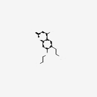 CCCOc1cc2oc(=O)cc(O)c2cc1CCC